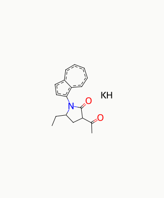 CCC1CC(C(C)=O)C(=O)N1c1ccc2cccccc1-2.[KH]